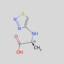 C[C@H](Nc1csnn1)C(=O)O